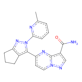 Cc1cccc(-n2nc3c(c2-c2ccn4ncc(C(N)=O)c4n2)CCC3)n1